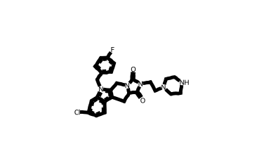 O=C1C2Cc3c(n(Cc4ccc(F)cc4)c4cc(Cl)ccc34)CN2C(=O)N1CCN1CCNCC1